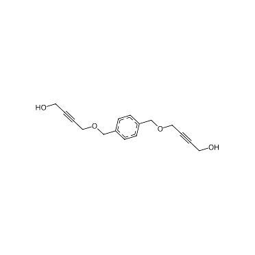 OCC#CCOCc1ccc(COCC#CCO)cc1